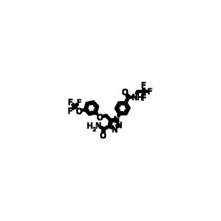 NC(=O)c1nnn(-c2ccc(C(=O)NCC(F)(F)F)cc2)c1COc1cccc(OC(F)(F)F)c1